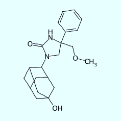 COCC1(c2ccccc2)CN(C2C3CC4CC2CC(O)(C4)C3)C(=O)N1